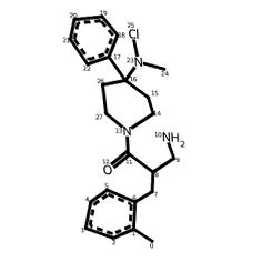 Cc1ccccc1CC(CN)C(=O)N1CCC(c2ccccc2)(N(C)Cl)CC1